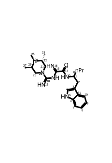 CCCC(Cc1c[nH]c2ccccc12)NC(=O)C(=N)NC(=N)N1C[C@@H](C)N(C)[C@H](C)C1